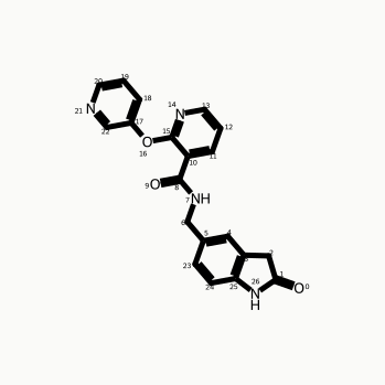 O=C1Cc2cc(CNC(=O)c3cccnc3Oc3cccnc3)ccc2N1